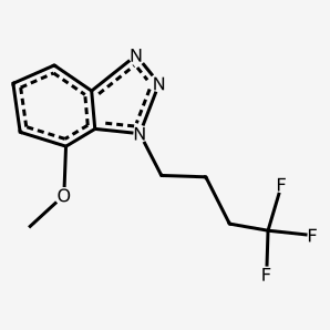 COc1cccc2nnn(CCCC(F)(F)F)c12